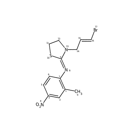 Cc1cc([N+](=O)[O-])ccc1N=C1SCCN1CC=CBr